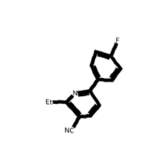 CCc1nc(-c2ccc(F)cc2)ccc1C#N